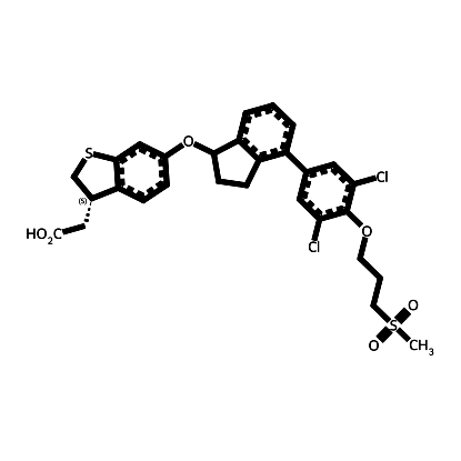 CS(=O)(=O)CCCOc1c(Cl)cc(-c2cccc3c2CCC3Oc2ccc3c(c2)SC[C@H]3CC(=O)O)cc1Cl